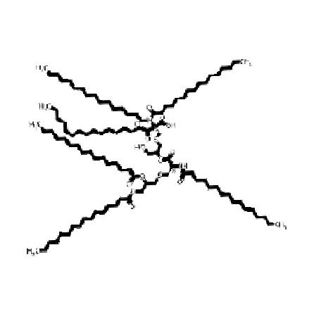 CCCCCCCCCCCCCCCC(=O)N[C@@H](CSCC(COC(=O)CCCCCCCCCCCCCCC)OC(=O)CCCCCCCCCCCCCCC)C(=O)OC(CO)CSC[C@](C(=O)O)(C(=O)CCCCCCCCCCCCCCC)N(C(=O)CCCCCCCCCCCCCCC)C(=O)CCCCCCCCCCCCCCC